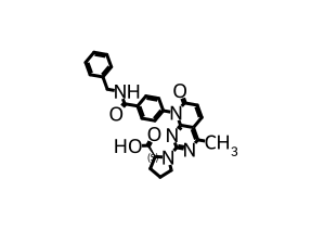 Cc1nc(N2CCC[C@H]2C(=O)O)nc2c1ccc(=O)n2-c1ccc(C(=O)NCc2ccccc2)cc1